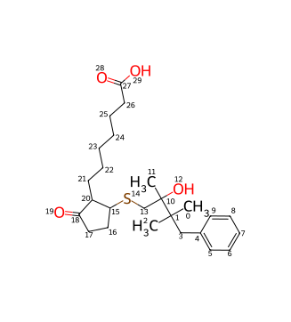 CC(C)(Cc1ccccc1)C(C)(O)CSC1CCC(=O)C1CCCCCCC(=O)O